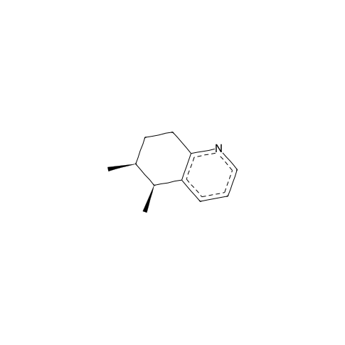 C[C@@H]1c2cccnc2CC[C@@H]1C